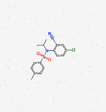 Cc1ccc(S(=O)(=O)N(c2ccc(Cl)cc2C#N)C(C)C)cc1